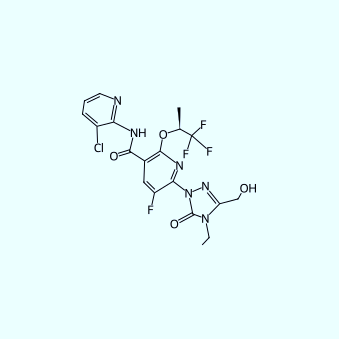 CCn1c(CO)nn(-c2nc(O[C@@H](C)C(F)(F)F)c(C(=O)Nc3ncccc3Cl)cc2F)c1=O